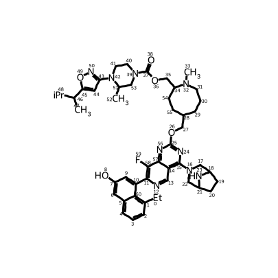 CCc1cccc2cc(O)cc(-c3ncc4c(N5CC6CCC(C5)N6)nc(OCC5CCCN(C)C(COC(=O)N6CCN(c7cc(C(C)C(C)C)on7)C(C)C6)CC5)nc4c3F)c12